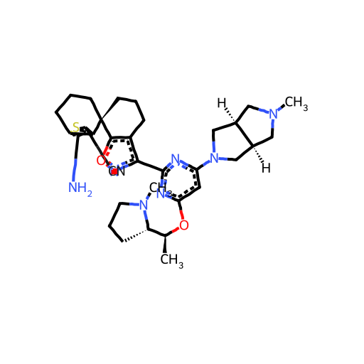 C[C@H](Oc1cc(N2C[C@H]3CN(C)C[C@H]3C2)nc(-c2noc3c2CCC[C@@]32CCCc3sc(N)c(C#N)c32)n1)[C@@H]1CCCN1C